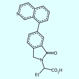 CCC(C(=O)O)N1Cc2ccc(-c3cccc4ccncc34)cc2C1=O